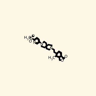 Cc1c(CCN2CCC3(CC2)CCN(c2ccc(S(C)(=O)=O)nc2)CC3)ccc2c1COC2=O